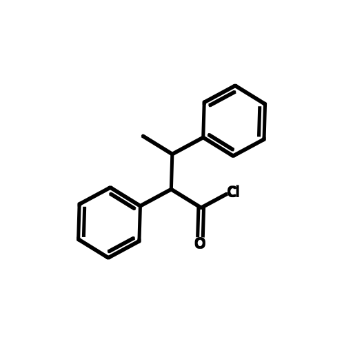 CC(c1ccccc1)C(C(=O)Cl)c1ccccc1